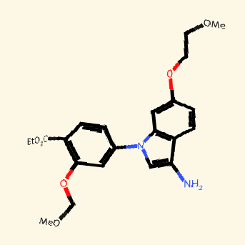 CCOC(=O)c1ccc(-n2cc(N)c3ccc(OCCOC)cc32)cc1OCOC